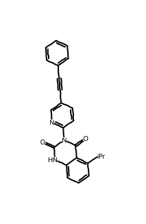 CC(C)c1cccc2[nH]c(=O)n(-c3ccc(C#Cc4ccccc4)cn3)c(=O)c12